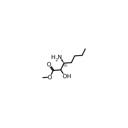 CCCC[C@H](N)C(O)C(=O)OC